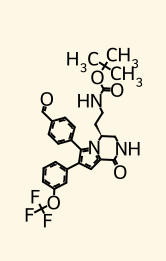 CC(C)(C)OC(=O)NCC[C@H]1CNC(=O)c2cc(-c3cccc(OC(F)(F)F)c3)c(-c3ccc(C=O)cc3)n21